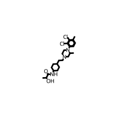 Cc1ccc(N2CCN(CCC3CCC(NC(=O)C(C)O)CC3)CC2C)c(Cl)c1Cl